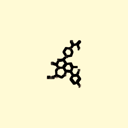 C=C(F)C(=O)N1CCN(c2nc(=O)n3c4c(c(-c5ccc(F)cc5F)c(C)cc24)SC[C@@H](OC)C3)CC1